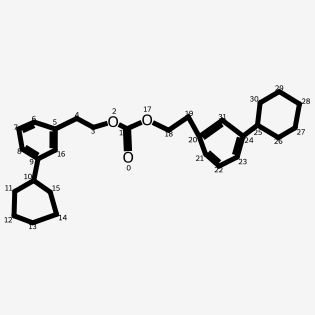 O=C(OCCc1cccc(C2CCCCC2)c1)OCCc1cccc(C2CCCCC2)c1